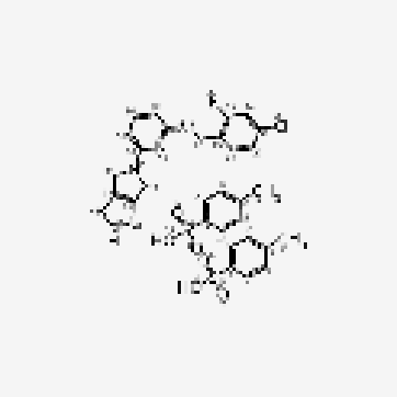 Cc1ccc(S(=O)(=O)O)cc1.Cc1ccc(S(=O)(=O)O)cc1.Fc1cc(Cl)ccc1COc1cccc(N2CC3=C(CNC3)C2)n1